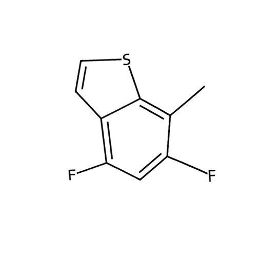 Cc1c(F)cc(F)c2ccsc12